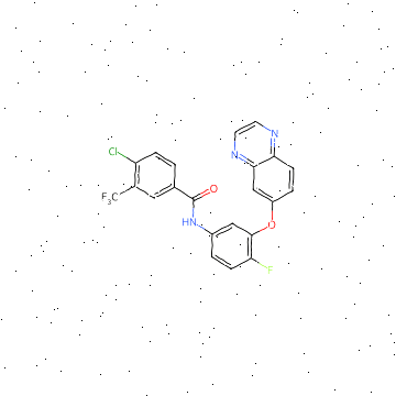 O=C(Nc1ccc(F)c(Oc2ccc3nccnc3c2)c1)c1ccc(Cl)c(C(F)(F)F)c1